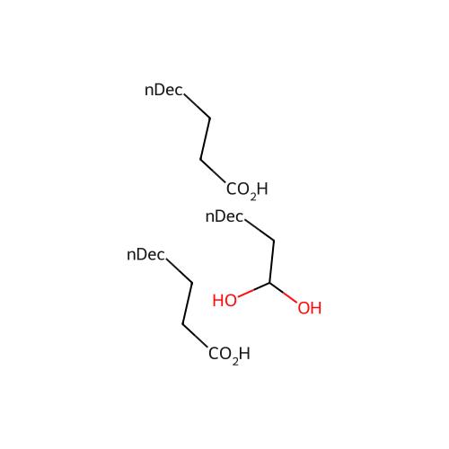 CCCCCCCCCCCC(O)O.CCCCCCCCCCCCC(=O)O.CCCCCCCCCCCCC(=O)O